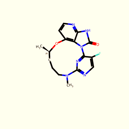 C[C@@H]1CCCN(C)c2ncc(F)c(n2)-n2c(=O)[nH]c3nccc(c32)O1